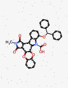 Cn1c(=O)c2c3oc4ccccc4oc3c3c(c4cccc(OC(c5ccccc5)c5ccccc5)c4n3C(=O)O)c2c1=O